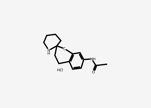 CC(=O)Nc1ccc2c(c1)CC1(CCCCN1)CC2.Cl